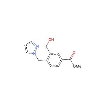 COC(=O)c1ccc(Cn2cccn2)c(CO)c1